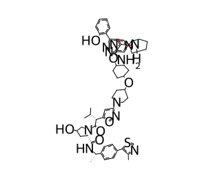 Cc1ncsc1-c1ccc([C@H](C)NC(=O)[C@@H]2C[C@@H](O)CN2C(=O)[C@@H](c2cc(N3CCC(OC4CCC(Oc5cc(N6C7CC[C@@H]6CN(c6cc(-c8ccccc8O)nnc6N)C7)ccn5)CC4)CC3)no2)C(C)C)cc1